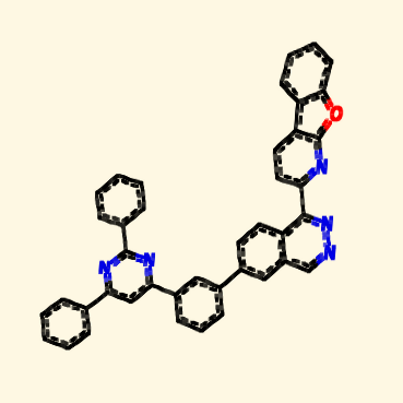 c1ccc(-c2cc(-c3cccc(-c4ccc5c(-c6ccc7c(n6)oc6ccccc67)nncc5c4)c3)nc(-c3ccccc3)n2)cc1